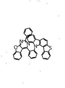 c1ccc(-c2nc(-c3ccccc3-n3c4ccccc4c4ccc5sc6ccccc6c5c43)c3c(n2)oc2ccccc23)cc1